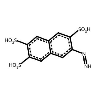 N=Nc1cc2cc(S(=O)(=O)O)c(S(=O)(=O)O)cc2cc1S(=O)(=O)O